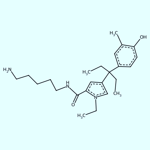 CCn1cc(C(CC)(CC)c2ccc(O)c(C)c2)cc1C(=O)NCCCCCN